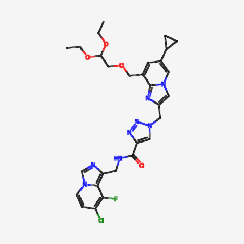 CCOC(COCc1cc(C2CC2)cn2cc(Cn3cc(C(=O)NCc4ncn5ccc(Cl)c(F)c45)nn3)nc12)OCC